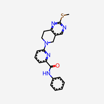 CSc1ncc2c(n1)CCN(c1cccc(C(=O)Nc3ccccc3)n1)C2